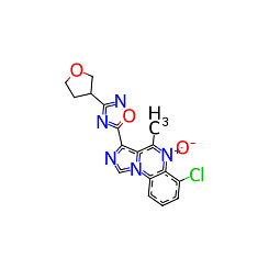 Cc1c2c(-c3nc(C4CCOC4)no3)ncn2c2cccc(Cl)c2[n+]1[O-]